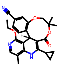 CCOc1ncc(C)c2c1[C@H]1C(=C(C3CC3)N2)C(=O)OC(C)(C)COc2cc(C#N)ccc21